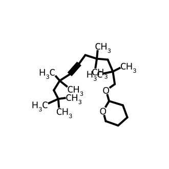 CC(C)(C)CC(C)(C)C#CCC(C)(C)CC(C)(C)COC1CCCCO1